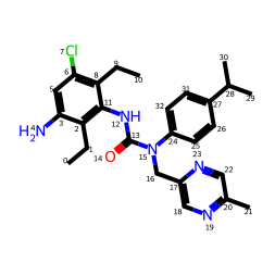 CCc1c(N)cc(Cl)c(CC)c1NC(=O)N(Cc1cnc(C)cn1)c1ccc(C(C)C)cc1